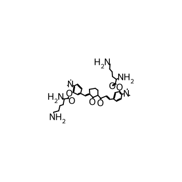 CN(C)c1ccc(C=CC(=O)C2CCCC(=Cc3ccc(N(C)C)c(OC(=O)C(N)CCCCN)c3)C2=O)cc1OC(=O)C(N)CCCCN